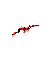 C=CC(=O)OCCCCOc1ccc(C(=O)Oc2ccc(OC(=O)c3ccc(OCCCCOC(=O)C=C)c(C)c3)c(OC)c2)cc1C